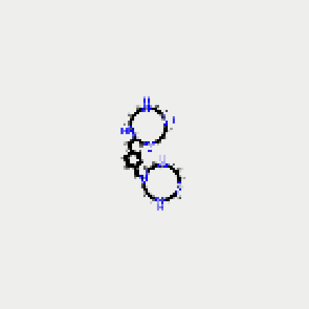 c1cc(CN2CCCNCCNCCCNCC2)ccc1CC1CNCCCNCCNCCCN1